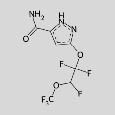 NC(=O)c1cc(OC(F)(F)C(F)OC(F)(F)F)n[nH]1